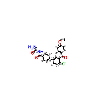 CCOc1ccc(C(=O)c2cc(-c3ccc(C(=O)NC(N)=O)cc3)ccc2Cl)cc1